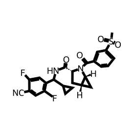 CS(=O)(=O)c1cccc(C(=O)N2[C@@H](C(=O)NC(c3cc(F)c(C#N)cc3F)C3CC3)C[C@H]3C[C@H]32)c1